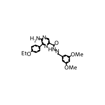 CCOc1ccc(-c2nc(C(=O)NN=Cc3cc(OC)cc(OC)c3)cnc2N)cc1